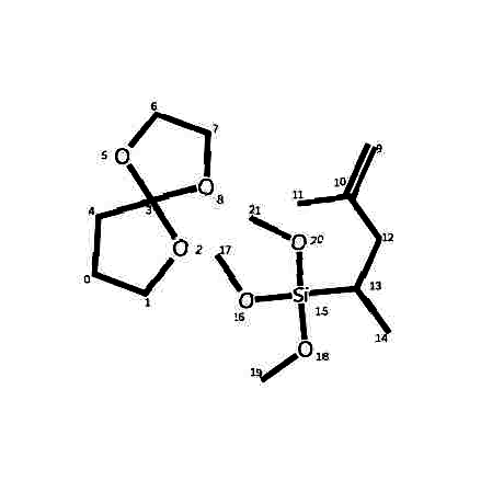 C1COC2(C1)OCCO2.C=C(C)CC(C)[Si](OC)(OC)OC